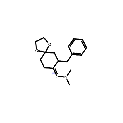 CN(C)/N=C1/CCC2(CC1Cc1ccccc1)OCCO2